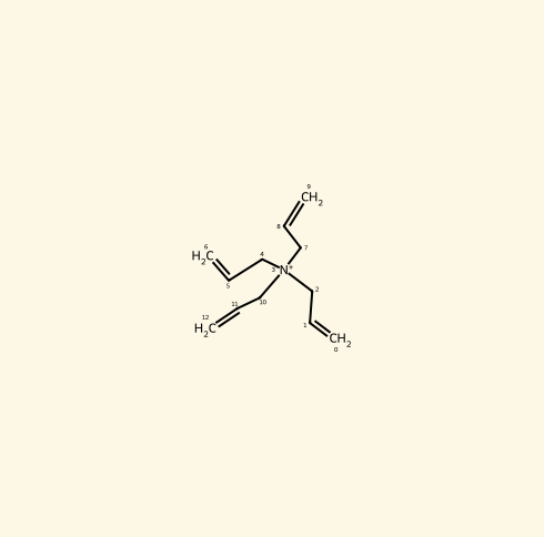 C=CC[N+](CC=C)(CC=C)CC=C